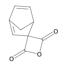 O=C1OC(=O)C12C=C1C=CC2C1